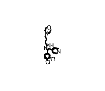 Clc1ccc(-c2nc(CCCN3CCOCC3)[nH]c2-c2ccncc2)cc1Cl